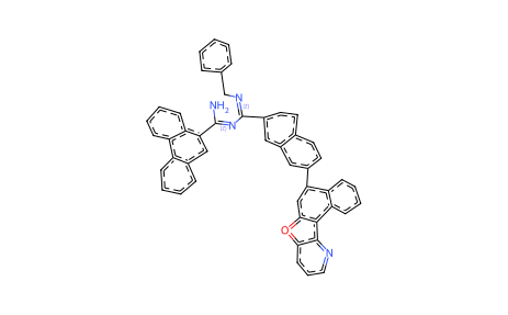 N/C(=N\C(=N/Cc1ccccc1)c1ccc2ccc(-c3cc4oc5cccnc5c4c4ccccc34)cc2c1)c1cc2ccccc2c2ccccc12